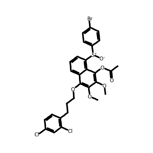 COc1c(OC)c(OC(C)=O)c2c([S+]([O-])c3ccc(Br)cc3)cccc2c1OCCCc1ccc(Cl)cc1Cl